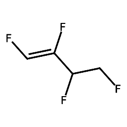 FC=C(F)C(F)CF